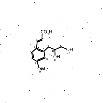 COc1ccc(C=CC(=O)O)c(CC(O)CO)c1